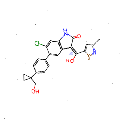 Cc1cc(/C(O)=C2\C(=O)Nc3cc(Cl)c(-c4ccc(C5(CO)CC5)cc4)cc32)sn1